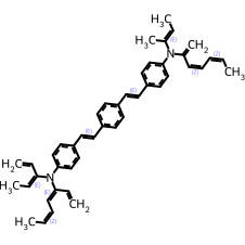 C=C/C(=C\C)N(/C(C=C)=C/C=C\C)c1ccc(/C=C/c2ccc(/C=C/c3ccc(N(C(=C)/C=C\C=C/C)/C(C)=C/C)cc3)cc2)cc1